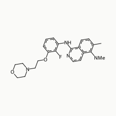 CNc1c(C)ccc2c(Nc3cccc(OCCN4CCOCC4)c3F)nccc12